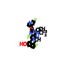 C#Cc1c(F)ccc2cc(O)cc(-c3ncc4c(NC(C)(C)C(F)(F)F)nc(OC[C@@]56CCCN5C[C@H](F)C6)nc4c3F)c12